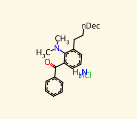 CCCCCCCCCCCCc1cccc(C(=O)c2ccccc2)c1N(C)C.Cl.N